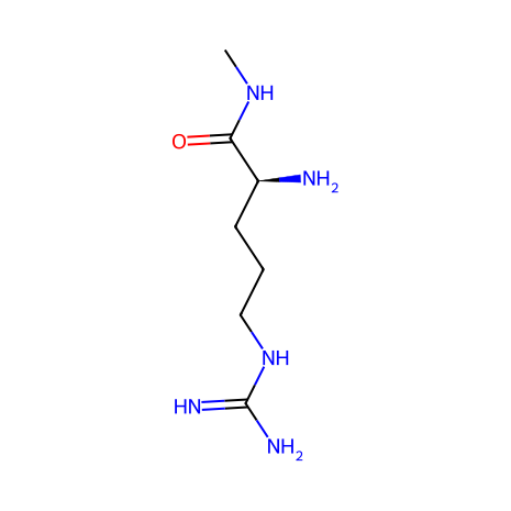 CNC(=O)[C@@H](N)CCCNC(=N)N